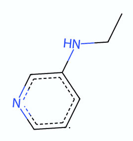 CCNc1c[c]cnc1